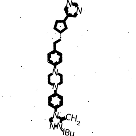 C=C1N(c2ccc(N3CCN(c4ccc(CC[C@@H]5CCC(c6cncnc6)C5)cc4)CC3)cc2)C=NN1C(C)CC